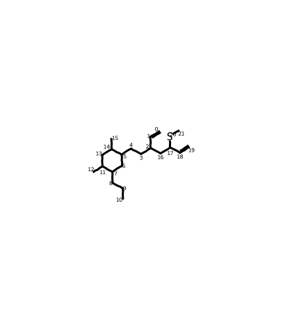 C=CC(CCC1CC(CCC)C(C)CC1C)CC(C=C)SC